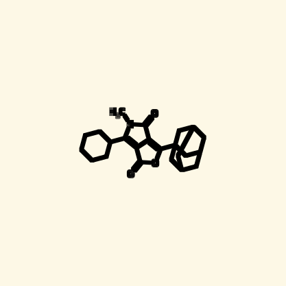 CN1C(=O)C2=C(C34CC5CC(CC(C5)C3)C4)OC(=O)C2=C1C1CCCCC1